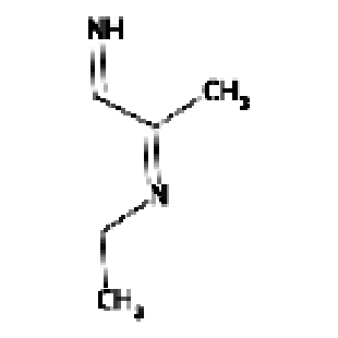 CCN=C(C)C=N